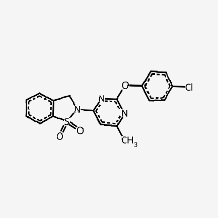 Cc1cc(N2Cc3ccccc3S2(=O)=O)nc(Oc2ccc(Cl)cc2)n1